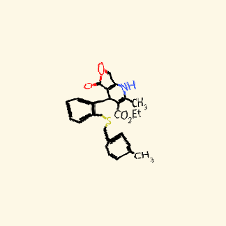 CCOC(=O)C1=C(C)NC2=C(C(=O)OC2)C1c1ccccc1SCc1ccc(C)cc1